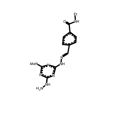 CCNC(=O)c1ccc(C=NNc2nc(NC)nc(NN)n2)cc1